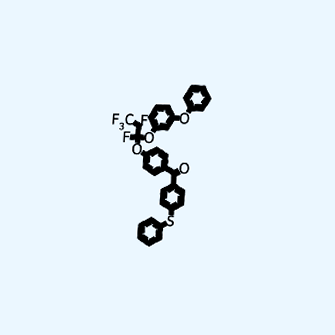 O=C(c1ccc(OC(F)(Oc2cccc(Oc3ccccc3)c2)C(F)C(F)(F)F)cc1)c1ccc(Sc2ccccc2)cc1